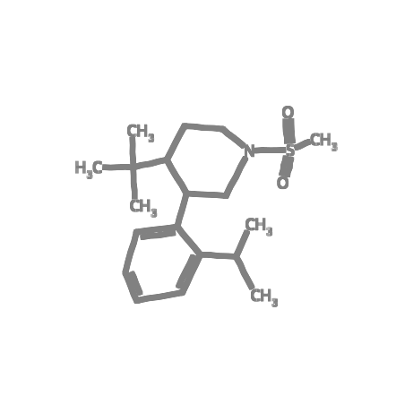 CC(C)c1ccccc1C1CN(S(C)(=O)=O)CCC1C(C)(C)C